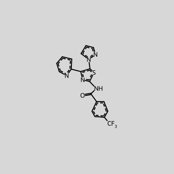 O=C(Nc1nc(-c2ccccn2)c(-n2cccn2)s1)c1ccc(C(F)(F)F)cc1